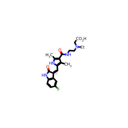 CCN(CCNC(=O)c1c(C)[nH]c(/C=C2\C(=O)Nc3ccc(F)cc32)c1C)CC(=O)O